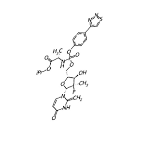 C=C1NC(=O)C=CN1[C@@H]1O[C@H](COP(=O)(N[C@@H](C)C(=O)OC(C)C)Oc2ccc(-c3csnn3)cc2)[C@@H](O)[C@@]1(C)F